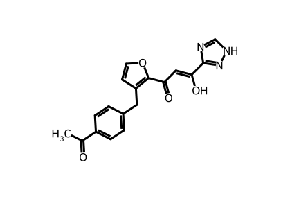 CC(=O)c1ccc(Cc2ccoc2C(=O)C=C(O)c2nc[nH]n2)cc1